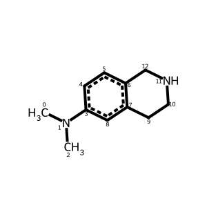 CN(C)c1ccc2c(c1)CCNC2